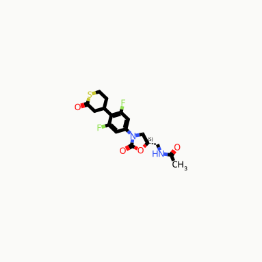 CC(=O)NC[C@H]1CN(c2cc(F)c(C3CCSC(=O)C3)c(F)c2)C(=O)O1